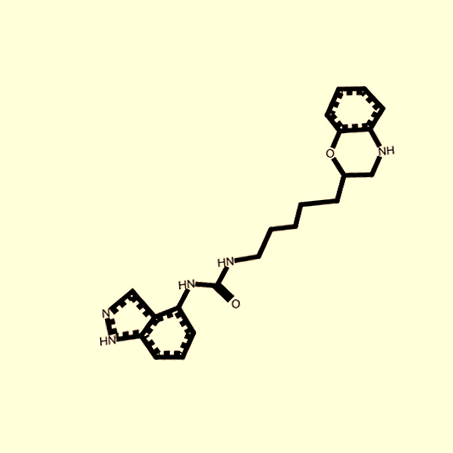 O=C(NCCCCCC1CNc2ccccc2O1)Nc1cccc2[nH]ncc12